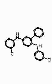 Clc1cccc(Nc2ccc(Nc3cccc(Cl)c3)c(-c3ccccc3)c2)c1